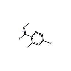 C/C=C(/F)c1ncc(Br)cc1C